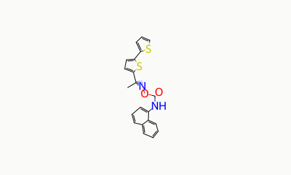 C/C(=N\OC(=O)Nc1cccc2ccccc12)c1ccc(-c2cccs2)s1